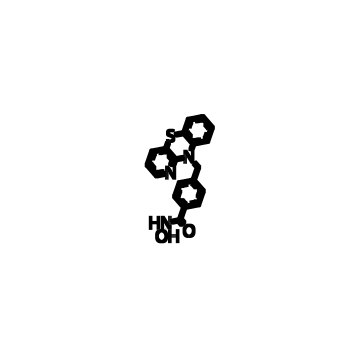 O=C(NO)c1ccc(CN2c3ccccc3Sc3cccnc32)cc1